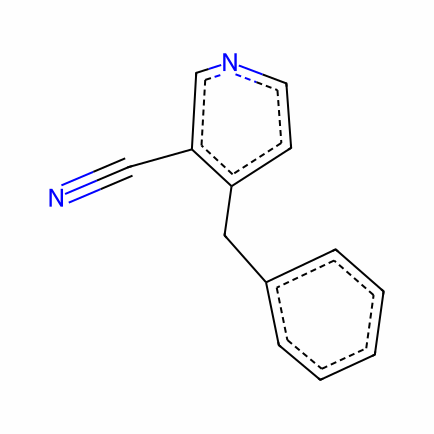 N#Cc1cnccc1Cc1ccccc1